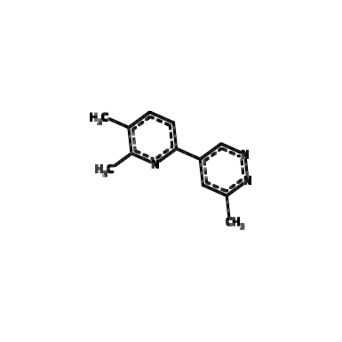 Cc1cc(-c2ccc(C)c(C)n2)cnn1